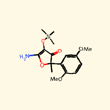 COc1ccc(OC)c(C2(C)OC(N)=C(O[Si](C)(C)C)C2=O)c1